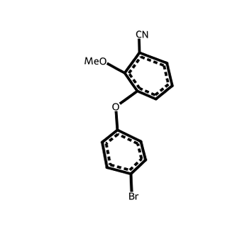 COc1c(C#N)cccc1Oc1ccc(Br)cc1